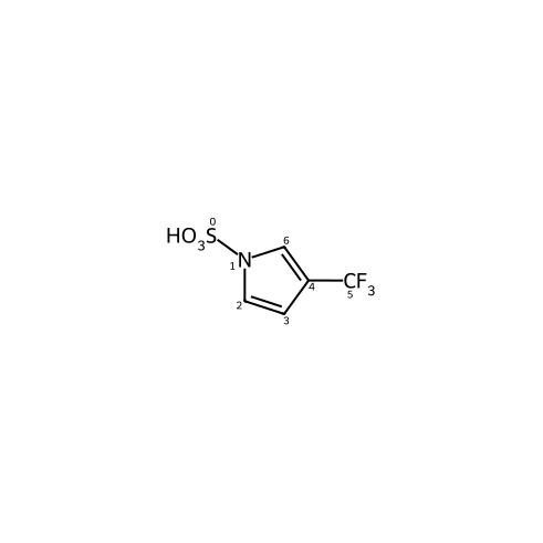 O=S(=O)(O)n1ccc(C(F)(F)F)c1